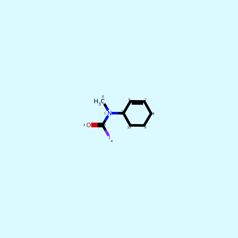 CN(C(=O)I)C1C=CCCC1